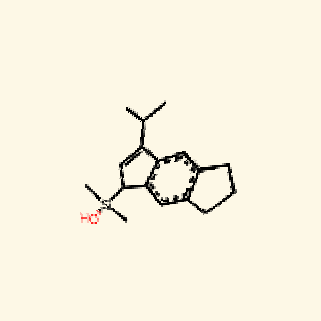 CC(C)C1=CC([Si](C)(C)O)c2cc3c(cc21)CCC3